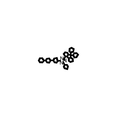 c1ccc(-c2ccc(-c3ccc(-c4nc(-c5ccccc5)nc(-c5cccc6c5-c5ccccc5C6(c5ccccc5)c5ccccc5)n4)cc3)cc2)cc1